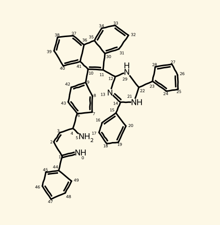 N=C(/C=C\C(N)c1ccc(-c2c(C3N=C(c4ccccc4)NC(c4ccccc4)N3)c3ccccc3c3ccccc23)cc1)c1ccccc1